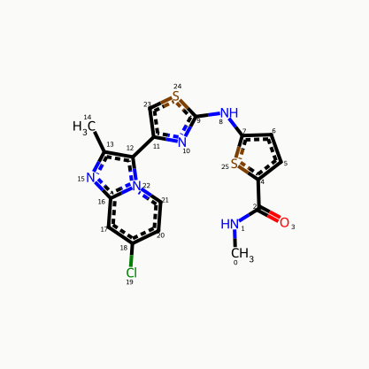 CNC(=O)c1ccc(Nc2nc(-c3c(C)nc4cc(Cl)ccn34)cs2)s1